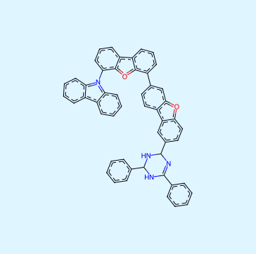 c1ccc(C2=NC(c3ccc4oc5cc(-c6cccc7c6oc6c(-n8c9ccccc9c9ccccc98)cccc67)ccc5c4c3)NC(c3ccccc3)N2)cc1